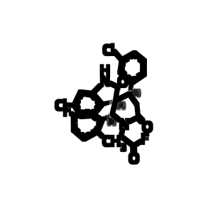 Cc1ccc(F)cc1[C@H]1N(CC(=O)F)C(=O)C[C@@H](c2cccc(Cl)c2)[C@]12C(=O)Nc1cc(Cl)ccc12